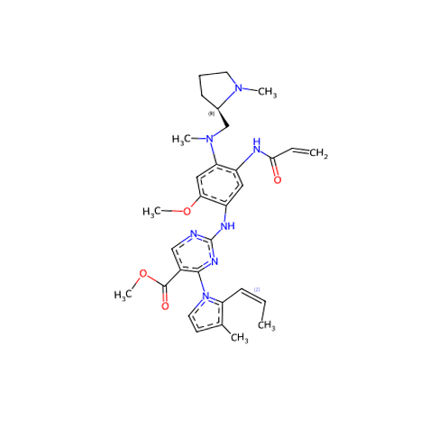 C=CC(=O)Nc1cc(Nc2ncc(C(=O)OC)c(-n3ccc(C)c3/C=C\C)n2)c(OC)cc1N(C)C[C@H]1CCCN1C